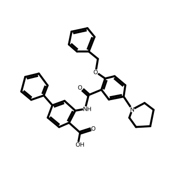 O=C(O)c1ccc(-c2ccccc2)cc1NC(=O)c1cc(N2CCCCC2)ccc1OCc1ccccc1